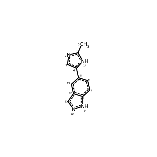 Cc1ncc(-c2ccc3[nH]ncc3c2)[nH]1